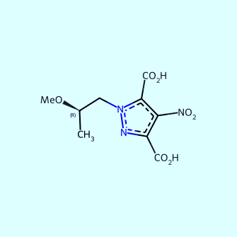 CO[C@H](C)Cn1nc(C(=O)O)c([N+](=O)[O-])c1C(=O)O